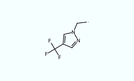 [CH2]Cn1cc(C(F)(F)F)cn1